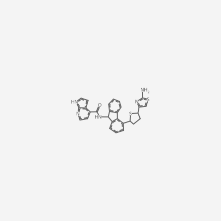 Nc1nc(C2CCC(c3cccc4c3-c3ccccc3C4NC(=O)c3ccnc4[nH]ccc34)S2)cs1